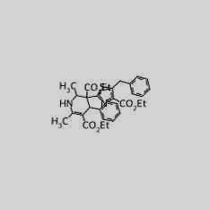 CCOC(=O)C1=C(C)NC(C)C(C(=O)OCC)(c2nc(C(=O)OCC)c(Cc3ccccc3)s2)C1c1ccccc1